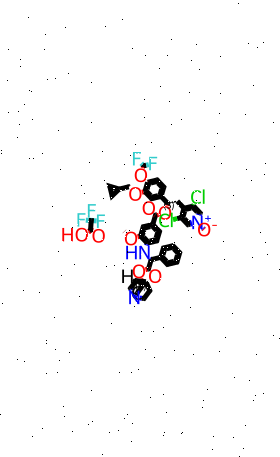 COc1cc(C(=O)O[C@@H](Cc2c(Cl)c[n+]([O-])cc2Cl)c2ccc(OC(F)F)c(OCC3CC3)c2)ccc1NC(C(=O)O[C@H]1CN2CCC1CC2)c1ccccc1.O=C(O)C(F)(F)F